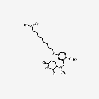 CC(C)N(CCCCCCCCSc1ccc(C=O)c(CN(C)C2CCC(=O)NC2=O)c1)C(C)C